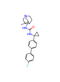 CC1(NC(=O)NC2(c3ccc(-c4ccc(F)cc4)cc3)CC2)CN2CCC1CC2